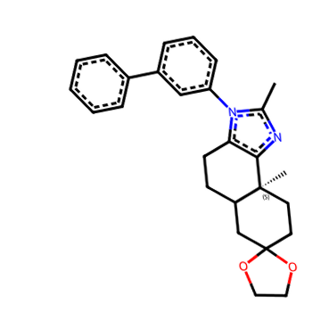 Cc1nc2c(n1-c1cccc(-c3ccccc3)c1)CCC1CC3(CC[C@]21C)OCCO3